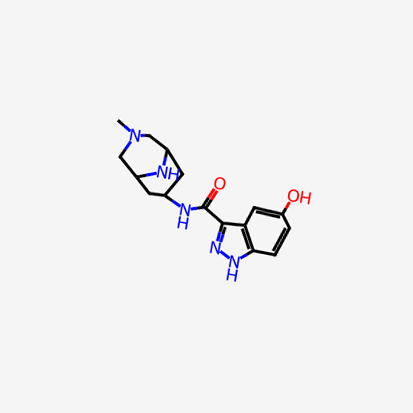 CN1CC2CC(NC(=O)c3n[nH]c4ccc(O)cc34)CC(C1)N2